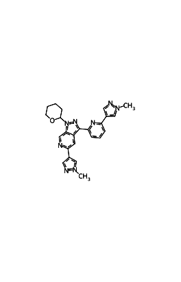 Cn1cc(-c2cc3c(-c4cccc(-c5cnn(C)c5)n4)nn(C4CCCCO4)c3cn2)cn1